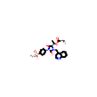 CC(OC(=O)C(F)(F)F)[C@@H]1C(=O)N(c2ccc(S(=O)(=O)C(F)(F)F)cc2)C(=O)N1Cc1ccnc2ccccc12